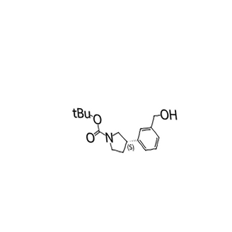 CC(C)(C)OC(=O)N1CC[C@@H](c2cccc(CO)c2)C1